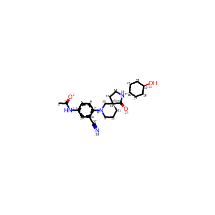 CC(=O)Nc1ccc(N2CCC[C@]3(CCN([C@H]4CC[C@H](O)CC4)C3=O)C2)c(C#N)c1